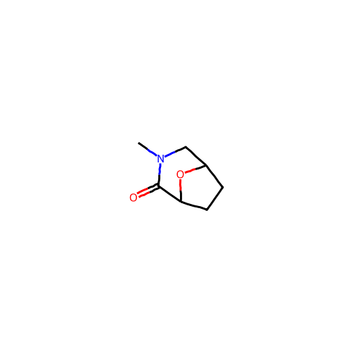 CN1CC2CCC(O2)C1=O